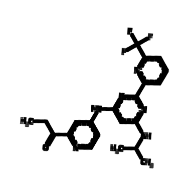 CCC(=O)c1cc(Nc2cc(NC(C)C)nc(-c3cccc(C(F)(F)F)n3)n2)ccn1